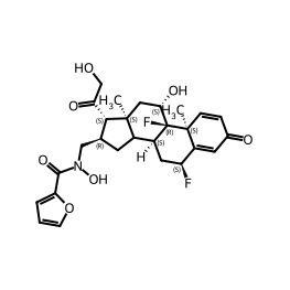 C[C@]12C[C@H](O)[C@@]3(F)[C@@H](C[C@H](F)C4=CC(=O)C=C[C@@]43C)C1C[C@@H](CN(O)C(=O)c1ccco1)[C@@H]2C(=O)CO